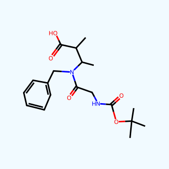 CC(C(=O)O)C(C)N(Cc1ccccc1)C(=O)CNC(=O)OC(C)(C)C